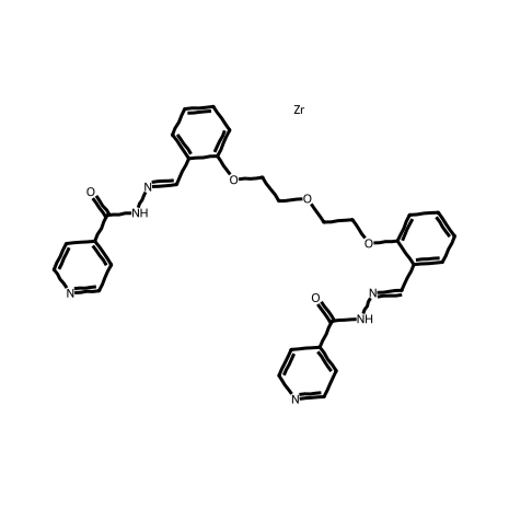 O=C(NN=Cc1ccccc1OCCOCCOc1ccccc1C=NNC(=O)c1ccncc1)c1ccncc1.[Zr]